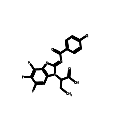 CCC(C(=O)O)n1/c(=N/C(=O)c2ccc(Cl)cc2)sc2c(F)c(F)c(F)cc21